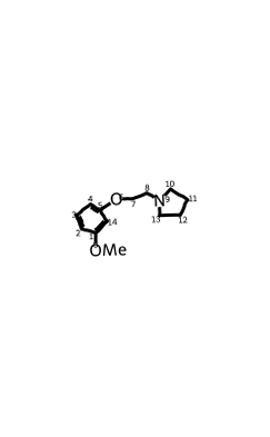 COc1c[c]cc(OCCN2CCCC2)c1